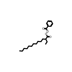 CCCCCCCCCCCC(CC)C(=O)OOC(=O)c1ccccc1